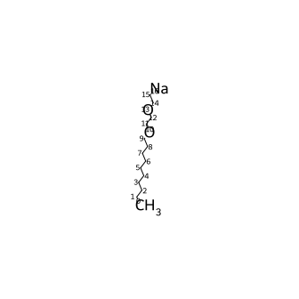 CCCCCCCCCCOCCOC[CH2][Na]